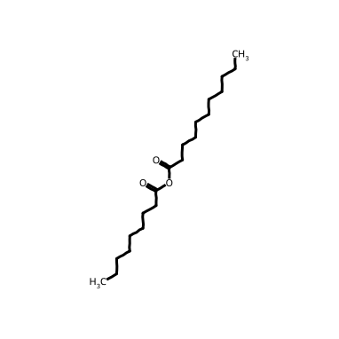 CCCCCCCCCCC(=O)OC(=O)CCCCCCCC